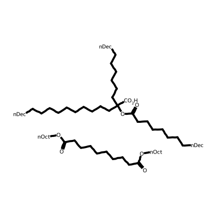 CCCCCCCCCCCCCCCCCCCCC(CCCCCCCCCCCCCCCC)(OC(=O)CCCCCCCCCCCCCCCCC)C(=O)O.CCCCCCCCOC(=O)CCCCCCCCC(=O)OCCCCCCCC